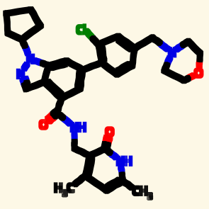 Cc1cc(C)c(CNC(=O)c2cc(-c3ccc(CN4CCOCC4)cc3Cl)cc3c2cnn3C2CCCC2)c(=O)[nH]1